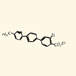 CCOC(=O)c1ccc(-c2ccc(-c3ccc(C)cc3)cc2)cc1CC